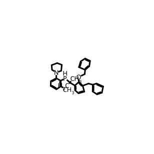 Cc1cccc(N2CCCCC2)c1PC(C)(C)c1cccc(Cc2ccccc2)c1OCc1ccccc1